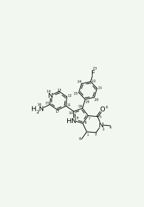 CC1CN(C)C(=O)c2c1[nH]c(-c1ccnc(N)c1)c2-c1ccc(F)cc1